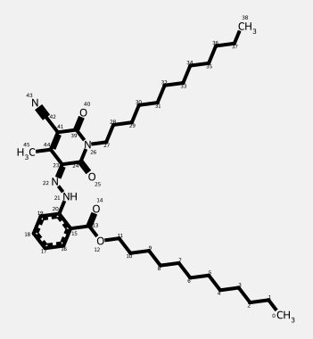 CCCCCCCCCCCCOC(=O)c1ccccc1N/N=C1\C(=O)N(CCCCCCCCCCCC)C(=O)C(C#N)=C1C